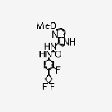 COc1ccc2[nH]cc(NC(=O)Nc3ccc(C4CC(F)(F)C4)c(F)c3)c2n1